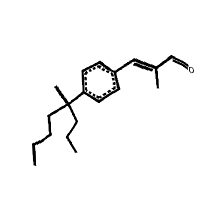 CCCCC(C)(CCC)c1ccc(/C=C(\C)C=O)cc1